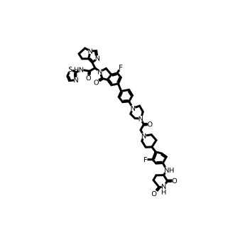 O=C1CCC(Nc2ccc(C3CCN(CC(=O)N4CCN(c5ccc(-c6cc(F)c7c(c6)C(=O)N(C(C(=O)Nc6nccs6)c6ncn8c6CCC8)C7)cc5)CC4)CC3)c(F)c2)C(=O)N1